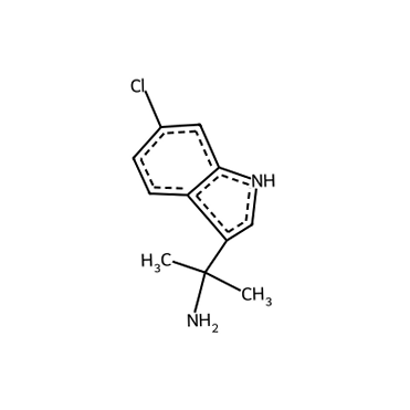 CC(C)(N)c1c[nH]c2cc(Cl)ccc12